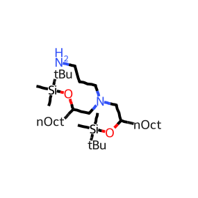 CCCCCCCCC(CN(CCCN)CC(CCCCCCCC)O[Si](C)(C)C(C)(C)C)O[Si](C)(C)C(C)(C)C